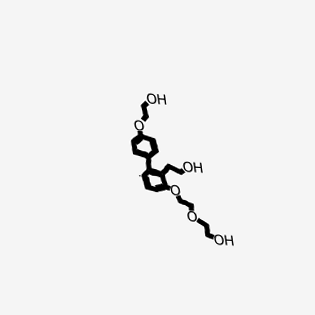 OCCOCCOc1cc[c]c(-c2ccc(OCCO)cc2)c1CCO